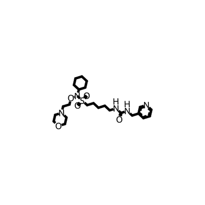 O=C(NCCCCCS(=O)(=O)N(OCCN1CCOCC1)C1CCCCC1)NCc1cccnc1